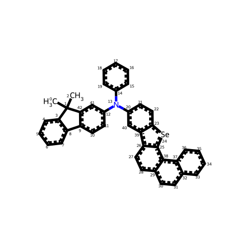 CC1(C)c2ccccc2-c2ccc(N(c3ccccc3)c3ccc4[se]c5c(ccc6ccc7ccccc7c65)c4c3)cc21